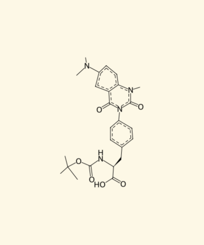 CN(C)c1ccc2c(c1)c(=O)n(-c1ccc(C[C@H](NC(=O)OC(C)(C)C)C(=O)O)cc1)c(=O)n2C